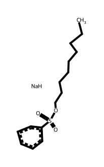 CCCCCCCCCOS(=O)(=O)c1ccccc1.[NaH]